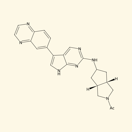 CC(=O)N1C[C@H]2CC(Nc3ncc4c(-c5ccc6nccnc6c5)c[nH]c4n3)C[C@H]2C1